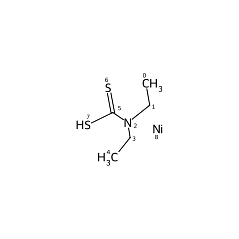 CCN(CC)C(=S)S.[Ni]